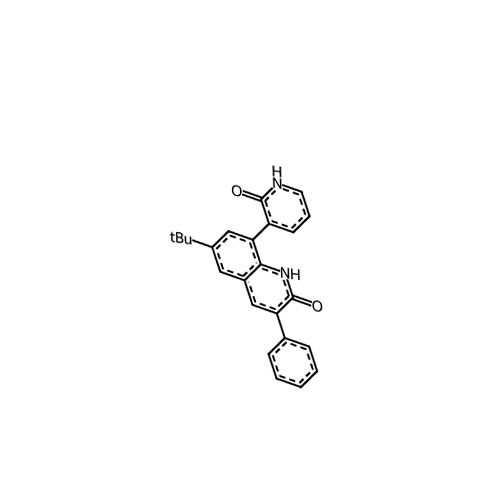 CC(C)(C)c1cc(-c2ccc[nH]c2=O)c2[nH]c(=O)c(-c3ccccc3)cc2c1